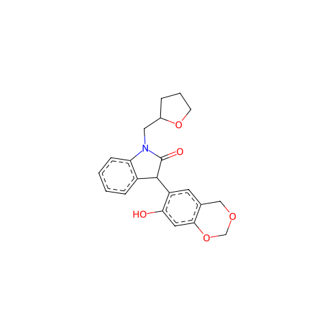 O=C1C(c2cc3c(cc2O)OCOC3)c2ccccc2N1CC1CCCO1